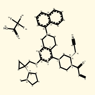 C=CC(=O)N1CCN(c2nc(OCC3([C@@H]4CCCN4C)CC3)nc3c2CCN(c2cccc4ccccc24)C3)C[C@@H]1CC#N.O=C(O)C(F)(F)F